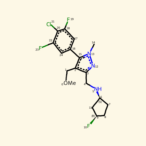 COCc1c(CN[C@H]2CC[C@@H](F)C2)nn(C)c1-c1cc(F)c(Cl)c(F)c1